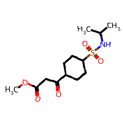 COC(=O)CC(=O)C1CCC(S(=O)(=O)NC(C)C)CC1